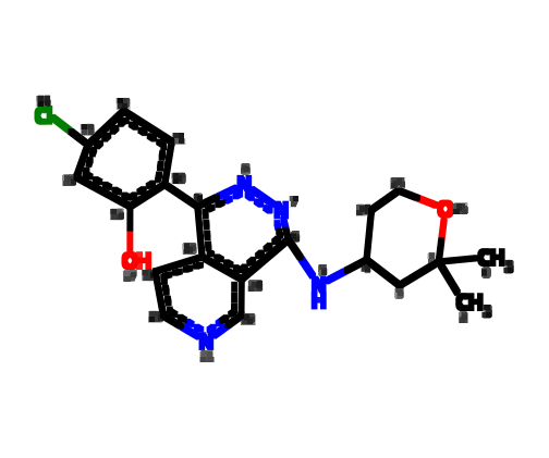 CC1(C)CC(Nc2nnc(-c3ccc(Cl)cc3O)c3ccncc23)CCO1